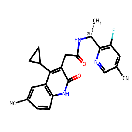 C[C@@H](NC(=O)Cc1c(C2CC2)c2cc(C#N)ccc2[nH]c1=O)c1ncc(C#N)cc1F